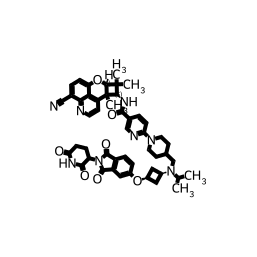 CC(C)N(CC1CCN(c2ccc(C(=O)N[C@H]3C(C)(C)[C@@H]4Oc5ccc(C#N)c6nccc(c56)C34C)cn2)CC1)[C@H]1C[C@H](Oc2ccc3c(c2)C(=O)N(C2CCC(=O)NC2=O)C3=O)C1